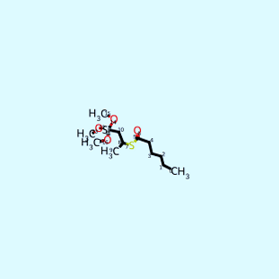 CCCCCC(=O)SC(C)C[Si](OC)(OC)OC